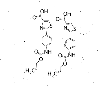 C=CCOC(=O)Nc1ccc(-c2nc(C(=O)O)cs2)cc1.C=CCOC(=O)Nc1ccc(-c2nc(C(=O)O)cs2)cc1